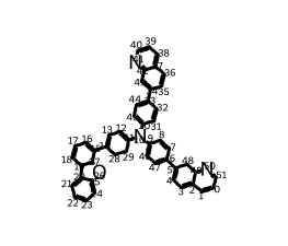 C1=CC2=CC=C(c3ccc(N(C4=CC=C(C5=CC=CC6c7ccccc7OC56)CC4)c4ccc(-c5ccc6cccnc6c5)cc4)cc3)CC2N=C1